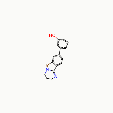 Oc1cccc(-c2ccc3c(c2)SN2CCCN=C32)c1